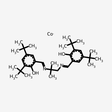 CC(C)(CN=Cc1cc(C(C)(C)C)cc(C(C)(C)C)c1O)N=Cc1cc(C(C)(C)C)cc(C(C)(C)C)c1O.[Co]